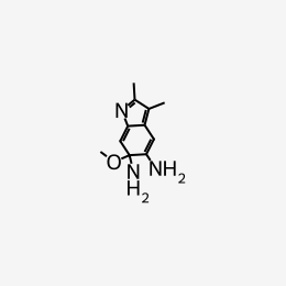 COC1(N)C=C2N=C(C)C(C)=C2C=C1N